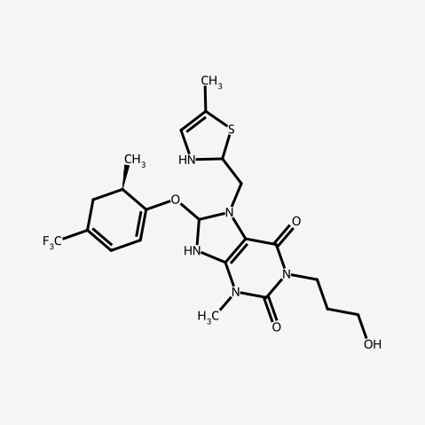 CC1=CNC(CN2c3c(n(C)c(=O)n(CCCO)c3=O)NC2OC2=CC=C(C(F)(F)F)C[C@H]2C)S1